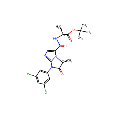 C[C@H](NC(=O)c1cnc2n1[C@@H](C)C(=O)N2c1cc(Cl)cc(Cl)c1)C(=O)OC(C)(C)C